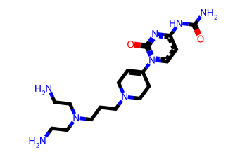 NCCN(CCN)CCCN1CC=C(n2ccc(NC(N)=O)nc2=O)CC1